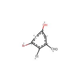 CCc1c(Br)cc(O)cc1C=O